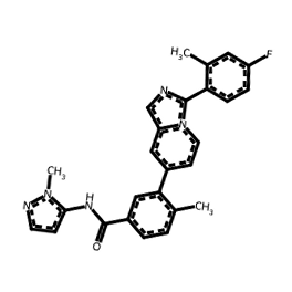 Cc1ccc(C(=O)Nc2ccnn2C)cc1-c1ccn2c(-c3ccc(F)cc3C)ncc2c1